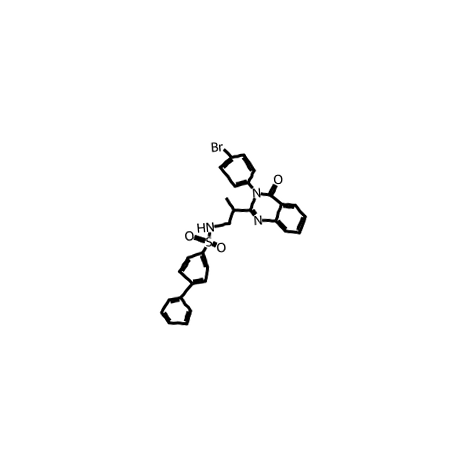 CC(CNS(=O)(=O)c1ccc(-c2ccccc2)cc1)c1nc2ccccc2c(=O)n1-c1ccc(Br)cc1